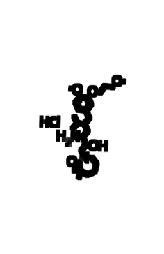 COCCCOc1cc(CC(CC(N)C(O)CN2CCCCC(C)(C)C2=O)C(C)C)ccc1OC.Cl